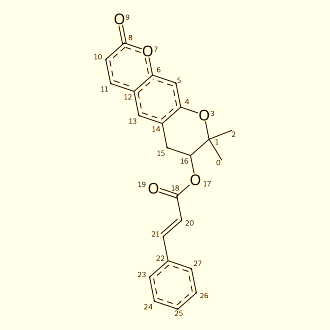 CC1(C)Oc2cc3oc(=O)ccc3cc2CC1OC(=O)C=Cc1ccccc1